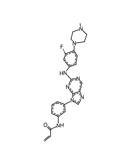 C=CC(=O)Nc1cccc(-n2cnc3cnc(Nc4ccc(N5CCN(C)CC5)c(F)c4)nc32)c1